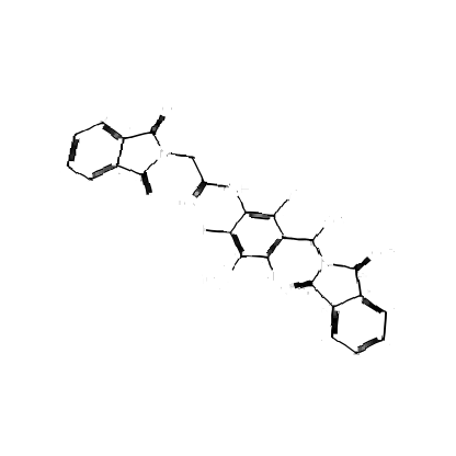 CC(=O)OC(c1c(I)c(NC(=O)CN2C(=O)c3ccccc3C2=O)c(I)c(C(=O)O)c1I)N1C(=O)c2ccccc2C1=O